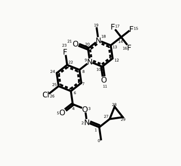 CC(=NOC(=O)c1cc(-n2c(=O)cc(C(F)(F)F)n(C)c2=O)c(F)cc1Cl)C1CC1